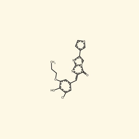 CCCOc1cc(/C=c2\sc3nc(-c4ccsc4)cn3c2=O)cc(Cl)c1O